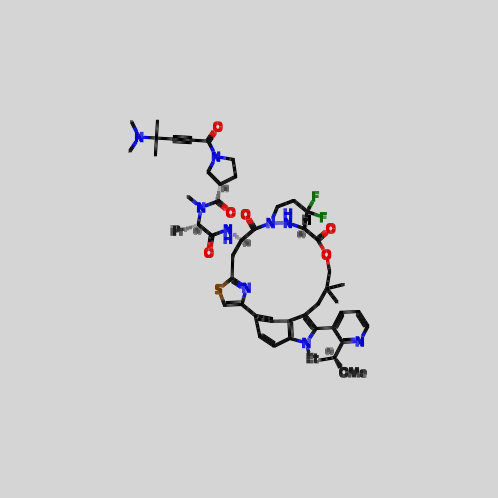 CCn1c(-c2cccnc2[C@H](C)OC)c2c3cc(ccc31)-c1csc(n1)C[C@H](NC(=O)[C@H](C(C)C)N(C)C(=O)[C@H]1CCN(C(=O)C#CC(C)(C)N(C)C)C1)C(=O)N1CCC(F)(F)[C@H](N1)C(=O)OCC(C)(C)C2